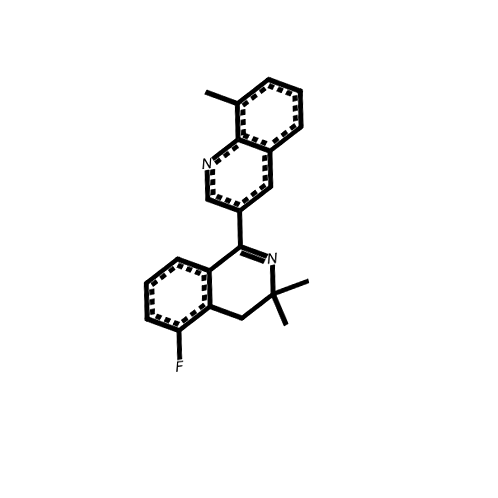 Cc1cccc2cc(C3=NC(C)(C)Cc4c(F)cccc43)cnc12